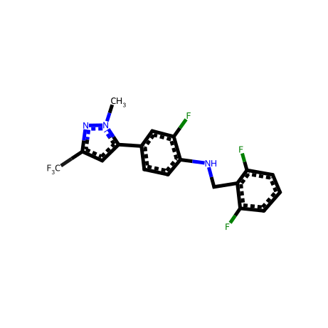 Cn1nc(C(F)(F)F)cc1-c1ccc(NCc2c(F)cccc2F)c(F)c1